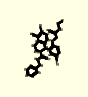 CCOC(=O)COc1ccc(F)cc1C1c2ccc(F)c(F)c2CCN1C(=O)OCc1ccccc1